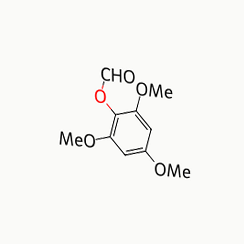 COc1cc(OC)c(OC=O)c(OC)c1